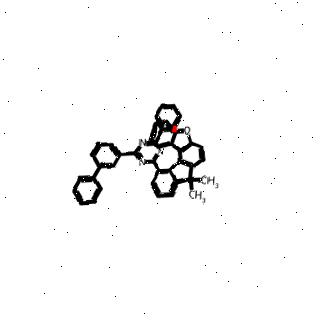 CC1(C)c2cccc(-c3nc(-c4ccccc4)nc(-c4cccc(-c5ccccc5)c4)n3)c2-c2c1ccc1oc3ccccc3c21